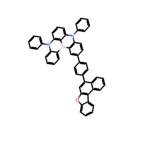 c1ccc(N2c3ccccc3B3c4cc(-c5ccc(-c6cc7oc8ccccc8c7c7ccccc67)cc5)ccc4N(c4ccccc4)c4cccc2c43)cc1